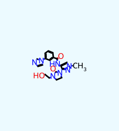 Cn1cc(NC(=O)c2cccc(-n3ccnc3)c2)c(N2CCN(CCO)C2=O)n1